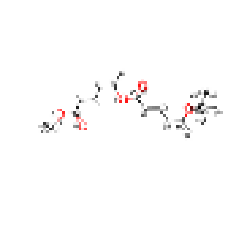 CC(CC=CC(=O)OC(C)(C)C)OC(=O)C=CCC(C)O[Si](C)(C)C(C)(C)C